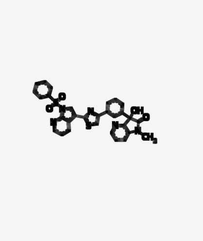 CN1C(=O)C(O)(c2cccc(-c3csc(-c4cn(S(=O)(=O)c5ccccc5)c5ncccc45)n3)c2)c2ncccc21